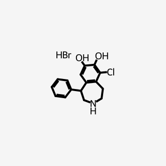 Br.Oc1cc2c(c(Cl)c1O)CCNCC2c1ccccc1